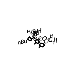 CCCCc1ccc(C(=O)OOP(=O)(O)O)cc1.Cc1ccc(C(=O)O)cc1.Cc1ccc(C(=O)O)cc1